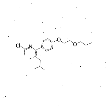 CCCOCCOc1ccc(C(/N=C(\C)Cl)=C(/C)CC(C)C)cc1